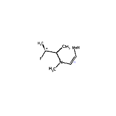 CN/C=C\N(C)C(C)[C@H](C)F